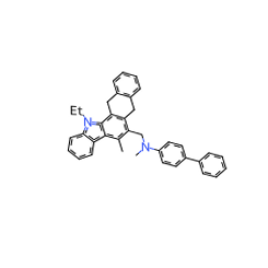 CCn1c2ccccc2c2c(C)c(CN(C)c3ccc(-c4ccccc4)cc3)c3c(c21)Cc1ccccc1C3